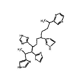 CC(CCC(CCC(c1nc[nH]n1)C(c1nccs1)C(C)c1c[nH]cn1)c1cc[nH]n1)c1cnccn1